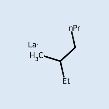 CCCCC(C)CC.[La]